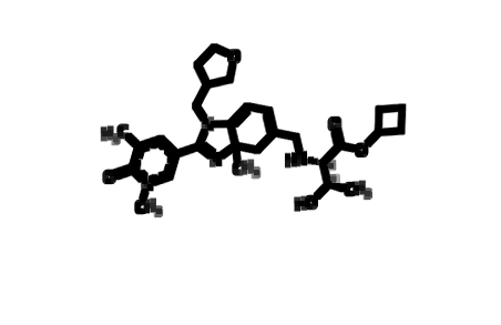 Cc1cc(C2=NC3(C)CC(CN[C@H](C(=O)OC4CCC4)[C@@H](C)O)=CC=C3N2CC2CCOC2)cn(C)c1=O